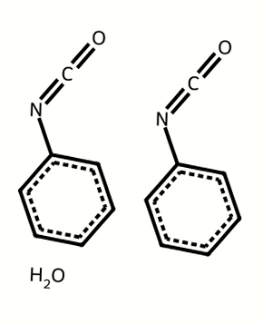 O.O=C=Nc1ccccc1.O=C=Nc1ccccc1